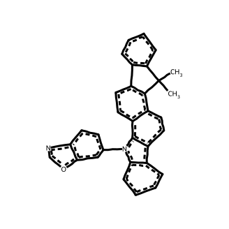 CC1(C)c2ccccc2-c2ccc3c(ccc4c5ccccc5n(-c5ccc6ncoc6c5)c34)c21